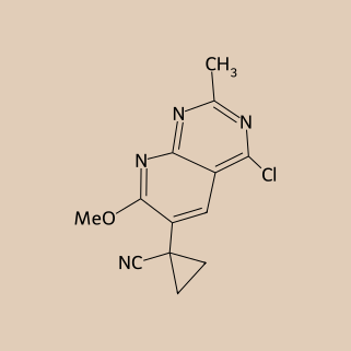 COc1nc2nc(C)nc(Cl)c2cc1C1(C#N)CC1